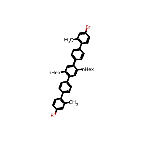 CCCCCCc1cc(-c2ccc(-c3ccc(Br)cc3C)cc2)c(CCCCCC)cc1-c1ccc(-c2ccc(Br)cc2C)cc1